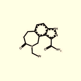 CC(C)CN1Cc2c(ccc3[nH]nc(C(N)=O)c23)C[CH]C1=O